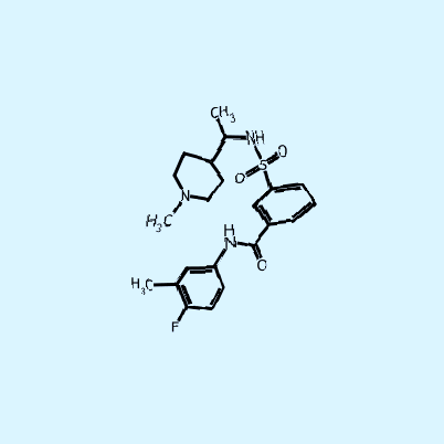 Cc1cc(NC(=O)c2cccc(S(=O)(=O)NC(C)C3CCN(C)CC3)c2)ccc1F